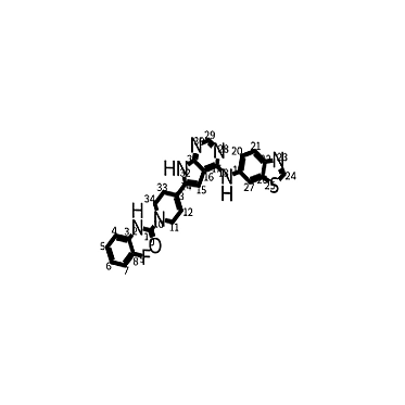 O=C(Nc1ccccc1F)N1CC=C(c2cc3c(Nc4ccc5ncsc5c4)ncnc3[nH]2)CC1